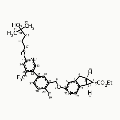 CCOC(=O)[C@H]1[C@@H]2Cc3cc(OCc4cc(-c5cnc(OCCCC(C)(C)O)cc5C(F)(F)F)ccc4F)ncc3[C@@H]21